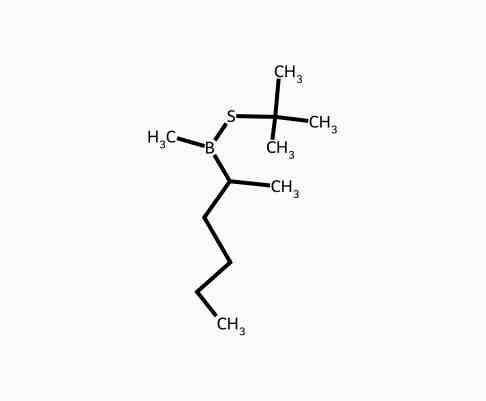 CCCCC(C)B(C)SC(C)(C)C